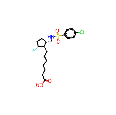 O=C(O)CCCCCC[C@@H]1[C@@H](CNS(=O)(=O)c2ccc(Cl)cc2)CC[C@H]1F